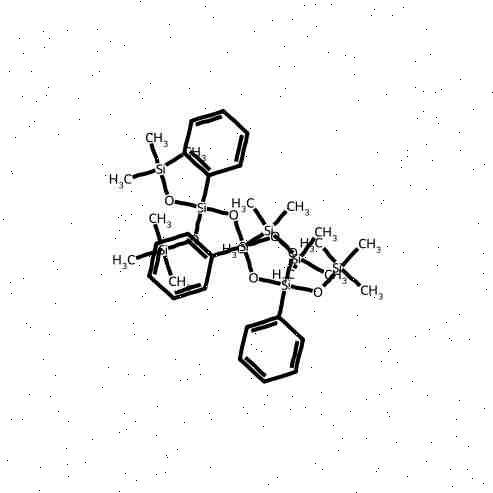 C[Si](C)(C)O[Si](O[Si](C)(C)C)(O[Si](O[Si](C)(C)C)(O[Si](O[Si](C)(C)C)(O[Si](C)(C)C)c1ccccc1)c1ccccc1)c1ccccc1